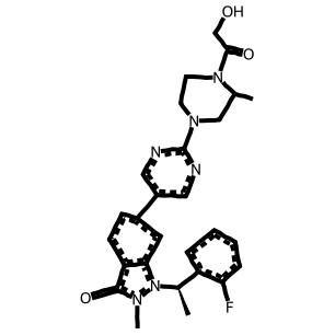 CC1CN(c2ncc(-c3ccc4c(=O)n(C)n([C@H](C)c5ccccc5F)c4c3)cn2)CCN1C(=O)CO